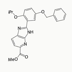 COC(=O)c1ccc2nc(-c3cc(OCc4ccccc4)ccc3OC(C)C)[nH]c2n1